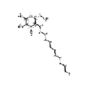 CCCCCCCCCCCCO[C@H]1[C@H](O)[C@@H](O)[C@@H](O)O[C@@H]1CO